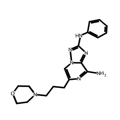 Nc1nc(CCCN2CCOCC2)cn2nc(Nc3ccccc3)nc12